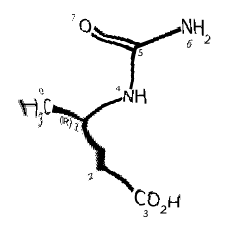 C[C@H](CC(=O)O)NC(N)=O